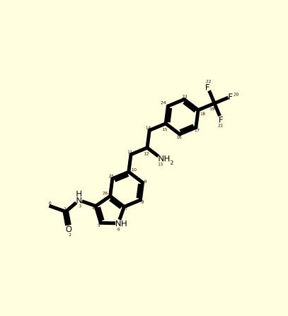 CC(=O)Nc1c[nH]c2ccc(CC(N)Cc3ccc(C(F)(F)F)cc3)cc12